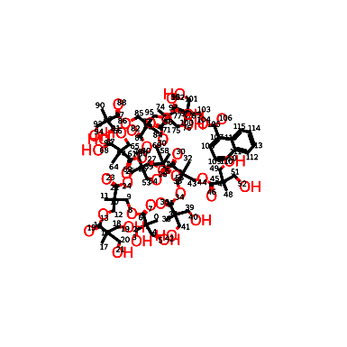 CC(CO)(CO)C(=O)OCC(C)(COC(=O)C(C)(CO)CO)C(=O)OCC(COC(=O)C(C)(COC(=O)C(C)(CO)CO)COC(=O)C(C)(CO)CO)(COC(=O)C(C)(COC(=O)C(C)(CO)CO)COC(=O)C(C)(CO)CO)COC(=O)C(C)(COC(=O)C(C)(CO)CO)COC(=O)C(C)(CO)COC(=O)c1cccc2ccccc12